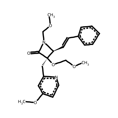 COCO[C@@]1(Cc2cc(OC)ccn2)C(=O)N(COC)[C@H]1/C=C/c1ccccc1